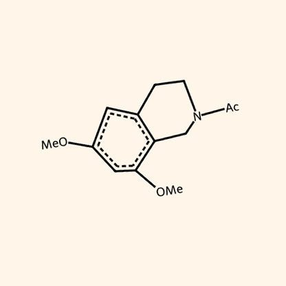 COc1cc2c(c(OC)c1)CN(C(C)=O)CC2